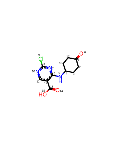 O=C1CCC(Nc2nc(Cl)ncc2C(=O)O)CC1